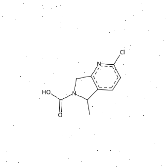 CC1c2ccc(Cl)nc2CN1C(=O)O